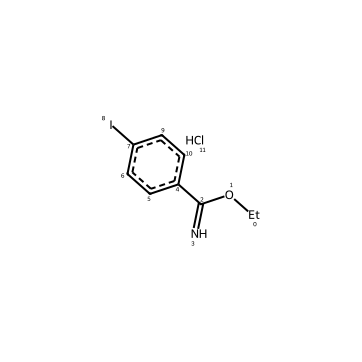 CCOC(=N)c1ccc(I)cc1.Cl